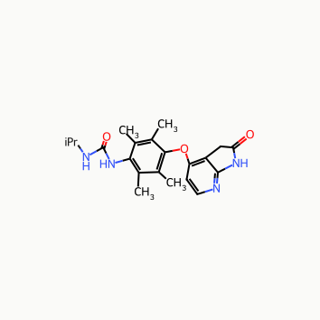 Cc1c(C)c(Oc2ccnc3c2CC(=O)N3)c(C)c(C)c1NC(=O)NC(C)C